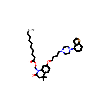 CCCCCCCCCCCCCCCCCCC(=O)OCN1C(=O)CC(C)(C)c2ccc(OCCCCN3CCN(c4cccc5sccc45)CC3)cc21